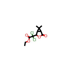 CCOC(=O)C(Cl)(Cl)C1OC(=O)C2C1C2(C)C